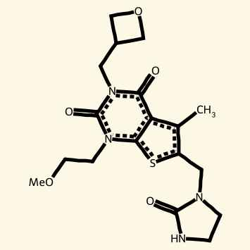 COCCn1c(=O)n(CC2COC2)c(=O)c2c(C)c(CN3CCNC3=O)sc21